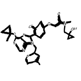 Cc1ccnc(Cn2c(-c3ccc(OCC(=O)N(C)CC4(O)CC4)cc3Cl)nc3c(OC4(C)CC4)ncnc32)c1